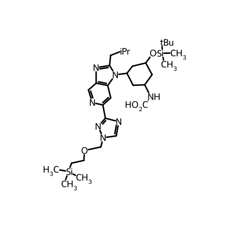 CC(C)Cc1nc2cnc(-c3ncn(COCC[Si](C)(C)C)n3)cc2n1C1CC(NC(=O)O)CC(O[Si](C)(C)C(C)(C)C)C1